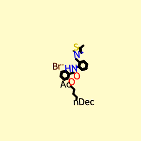 CCCCCCCCCCCCCCOc1c(C(C)=O)cccc1C(=O)Nc1ccccc1C[n+]1csc(C)c1.[Br-]